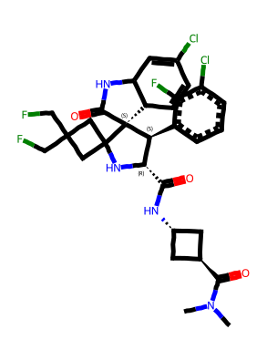 CN(C)C(=O)[C@H]1C[C@H](NC(=O)[C@@H]2NC3(CC(CF)(CF)C3)[C@@]3(C(=O)NC4C=C(Cl)C=CC43)[C@H]2c2cccc(Cl)c2F)C1